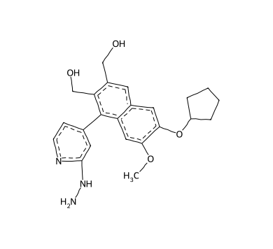 COc1cc2c(-c3ccnc(NN)c3)c(CO)c(CO)cc2cc1OC1CCCC1